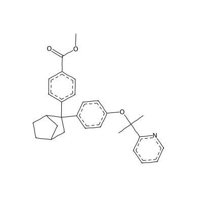 COC(=O)c1ccc(C2(c3ccc(OC(C)(C)c4ccccn4)cc3)CC3CCC2C3)cc1